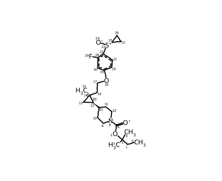 CCC(C)(C)OC(=O)N1CCC([C@H]2C[C@@]2(C)CCOc2ccc([S+]([O-])C3CC3)c(F)c2)CC1